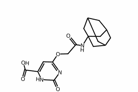 O=C(COc1cc(C(=O)O)[nH]c(=O)n1)NC12CC3CC(CC(C3)C1)C2